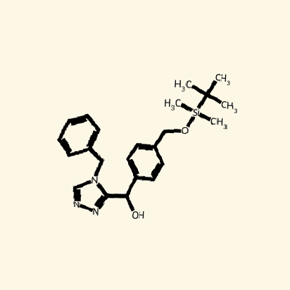 CC(C)(C)[Si](C)(C)OCc1ccc(C(O)c2nncn2Cc2ccccc2)cc1